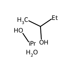 CC(C)O.CCC(C)O.O